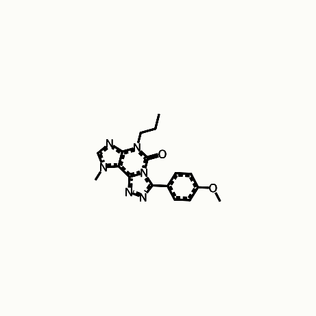 CCCn1c(=O)n2c(-c3ccc(OC)cc3)nnc2c2c1ncn2C